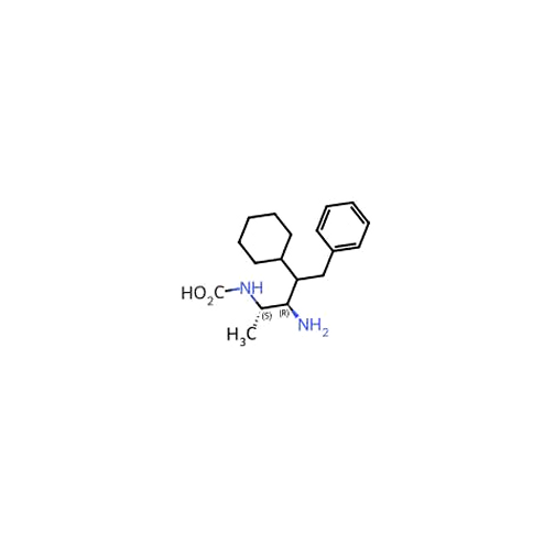 C[C@H](NC(=O)O)[C@H](N)C(Cc1ccccc1)C1CCCCC1